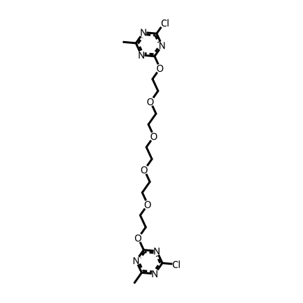 Cc1nc(Cl)nc(OCCOCCOCCOCCOCCOc2nc(C)nc(Cl)n2)n1